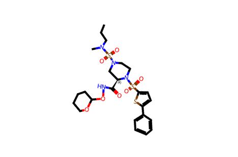 CCCN(C)S(=O)(=O)N1CCN(S(=O)(=O)c2ccc(-c3ccccc3)s2)[C@@H](C(=O)NOC2CCCCO2)C1